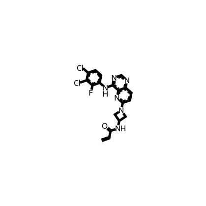 C=CC(=O)NC1CN(c2ccc3ncnc(Nc4ccc(Cl)c(Cl)c4F)c3n2)C1